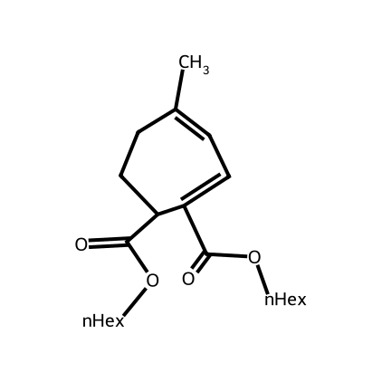 CCCCCCOC(=O)C1=CC=C(C)CCC1C(=O)OCCCCCC